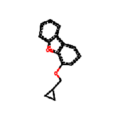 c1ccc2c(c1)oc1c(OCC3CC3)cccc12